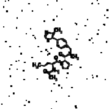 CCC[C@@H](C(=O)N1CCC[C@H]1C(=O)N(C)Cc1ccc(-c2scnc2C)cc1)N(I)C(C)=O